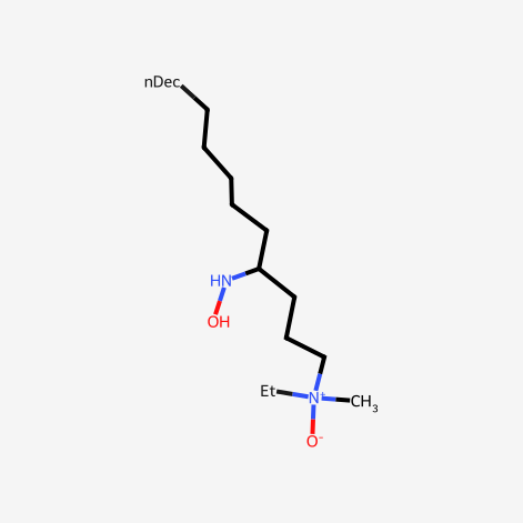 CCCCCCCCCCCCCCCC(CCC[N+](C)([O-])CC)NO